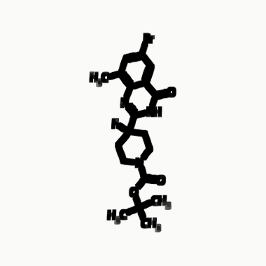 Cc1cc(Br)cc2c(=O)[nH]c(C3(F)CCN(C(=O)OC(C)(C)C)CC3)nc12